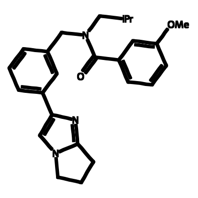 COc1cccc(C(=O)N(Cc2cccc(-c3cn4c(n3)CCC4)c2)CC(C)C)c1